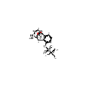 O=S(=O)(Oc1cccc2c1C[C@H]1NCC[C@@]23CCCC[C@@H]13)C(F)(F)F